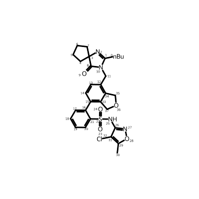 CCCCC1=NC2(CCCC2)C(=O)N1Cc1ccc(-c2ccccc2S(=O)(=O)Nc2noc(C)c2Cl)c2c1COC2